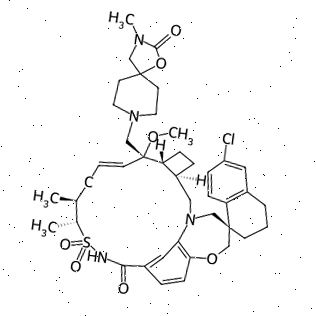 CO[C@@]1(CN2CCC3(CC2)CN(C)C(=O)O3)/C=C/C[C@H](C)[C@@H](C)S(=O)(=O)NC(=O)c2ccc3c(c2)N(C[C@@H]2CC[C@H]21)C[C@@]1(CCCc2cc(Cl)ccc21)CO3